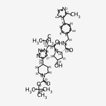 Cc1ncsc1-c1ccc(CNC(=O)[C@@H]2C[C@@H](O)CN2C(=O)[C@H](C(C)C)n2cc(C3CCN(C(=O)OC(C)(C)C)CC3)nn2)cc1